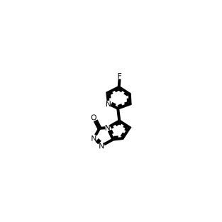 O=C1N=Nc2ccc(-c3ccc(F)cn3)n21